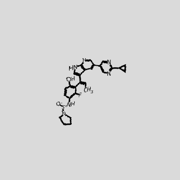 CC=C(c1c(O)ccc(N[S+]([O-])N2CCCC2)c1F)c1c[nH]c2ncc(-c3cnc(C4CC4)nc3)cc12